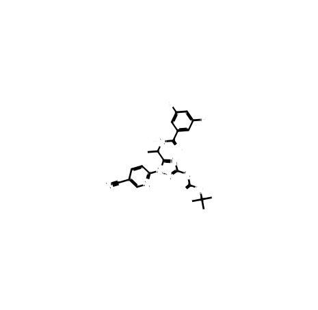 CC(NC(=O)c1cc(Br)cc(Br)c1)c1nc(NC(=O)OC(C)(C)C)nn1-c1ccc(C#N)cn1